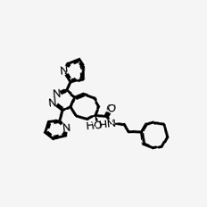 O=C(NCCC1CCCCCCC1)[C@@]1(O)CC/C=C2/C(c3ccccn3)=NN=C(c3ccccn3)C2CC1